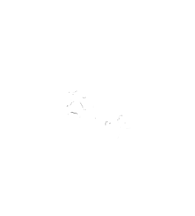 Cc1nc2cccc(CCCNC(=O)C3CC3)c2o1